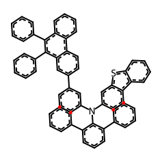 c1ccc(-c2cccc(-c3ccccc3)c2N(c2cccc(-c3ccc4c(c3)c(-c3ccccc3)c(-c3ccccc3)c3ccccc34)c2)c2ccc3c(c2)sc2ccccc23)cc1